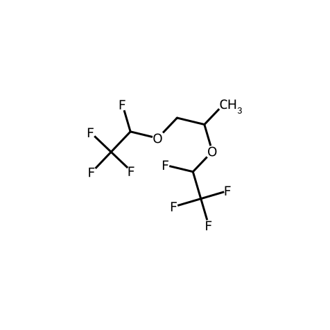 CC(COC(F)C(F)(F)F)OC(F)C(F)(F)F